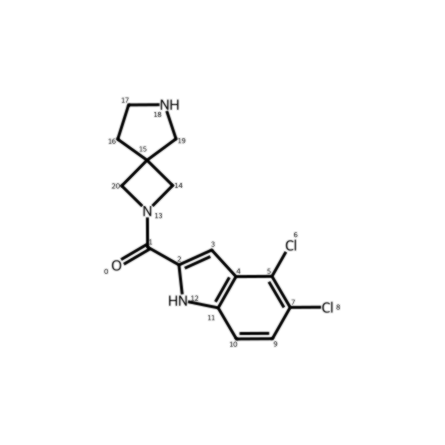 O=C(c1cc2c(Cl)c(Cl)ccc2[nH]1)N1CC2(CCNC2)C1